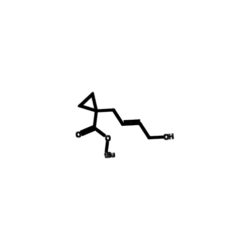 CC(C)(C)OC(=O)C1(CC=CCO)CC1